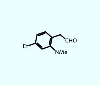 CCc1ccc(CC=O)c(NC)c1